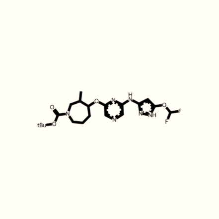 CC1CN(C(=O)OC(C)(C)C)CCCC1Oc1cncc(Nc2cc(OC(F)F)[nH]n2)n1